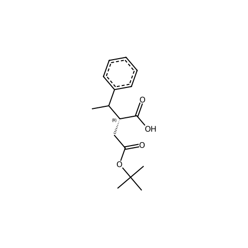 CC(c1ccccc1)[C@@H](CC(=O)OC(C)(C)C)C(=O)O